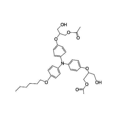 CCCCCCOc1ccc(N(c2ccc(OC(CO)COC(C)=O)cc2)c2ccc(OC(CO)COC(C)=O)cc2)cc1